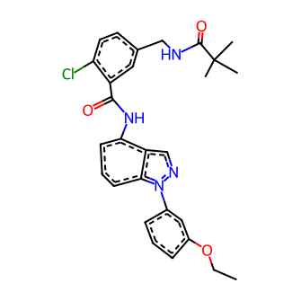 CCOc1cccc(-n2ncc3c(NC(=O)c4cc(CNC(=O)C(C)(C)C)ccc4Cl)cccc32)c1